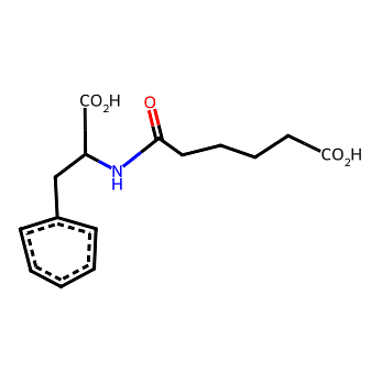 O=C(O)CCCCC(=O)NC(Cc1ccccc1)C(=O)O